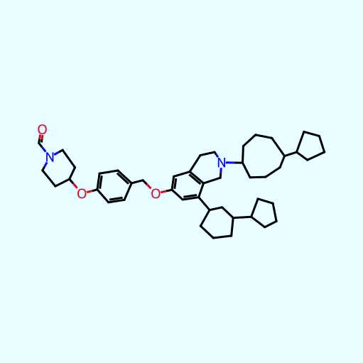 O=CN1CCC(Oc2ccc(COc3cc4c(c(C5CCCC(C6CCCC6)C5)c3)CN(C3CCCC(C5CCCC5)CCC3)CC4)cc2)CC1